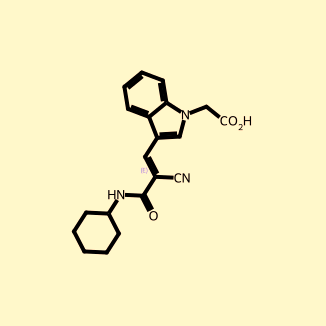 N#C/C(=C\c1cn(CC(=O)O)c2ccccc12)C(=O)NC1CCCCC1